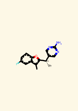 [CH2]C(C)[C@@H](c1cnc(N)nc1)c1oc2ccc(F)cc2c1C